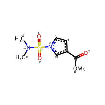 COC(=O)c1ccn(S(=O)(=O)N(C)C)c1